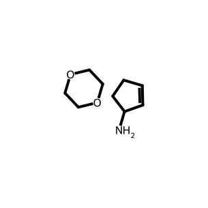 C1COCCO1.NC1C=CCC1